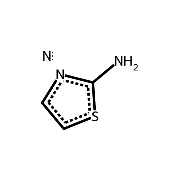 Nc1nccs1.[N]